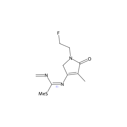 C=N/C(=N\C1=C(C)C(=O)N(CCF)C1)SC